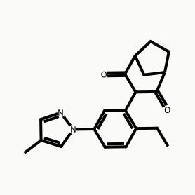 CCc1ccc(-n2cc(C)cn2)cc1C1C(=O)C2CCC(C2)C1=O